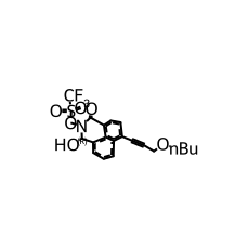 CCCCOCC#Cc1ccc2c3c(cccc13)[C@@H](O)N(OS(=O)(=O)C(F)(F)F)C2=O